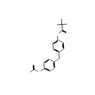 CCC(C)(CC)C(=O)Nc1ccc(Cc2ccc(NC(=O)C(C)(C)C)cc2)cc1